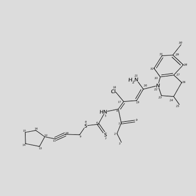 C=C(CC)/C(NC(=S)SCC#CC1CCCC1)=C(Cl)\C=C(/N)N1CC(C)Cc2cc(C)ccc21